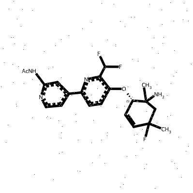 CC(=O)Nc1cc(-c2ccc(O[C@H]3C=CC(C)(F)CC3(C)N)c(C(F)F)n2)ccn1